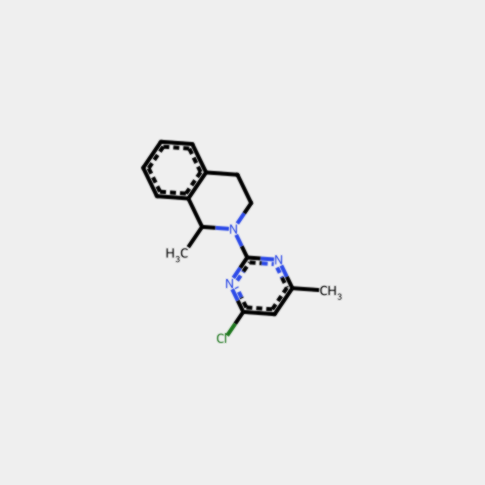 Cc1cc(Cl)nc(N2CCc3ccccc3C2C)n1